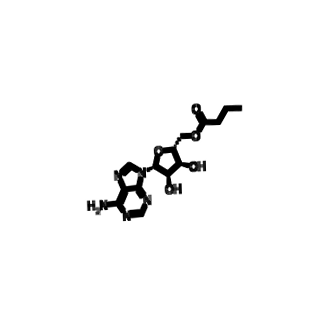 CCCC(=O)OC[C@H]1O[C@@H](n2cnc3c(N)ncnc32)[C@H](O)[C@@H]1O